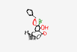 COC(=O)c1c(C)cc(OCc2ccccc2)c(Br)c1O